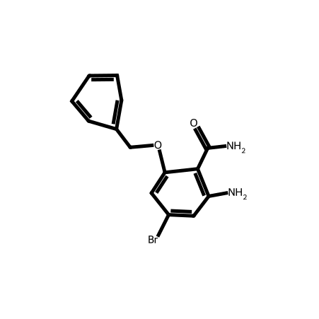 NC(=O)c1c(N)cc(Br)cc1OCc1ccccc1